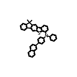 CC1(C)c2ccccc2-c2cc3sc4c(N(c5ccccc5)c5ccc(-c6ccc7ccccc7c6)cc5)cccc4c3cc21